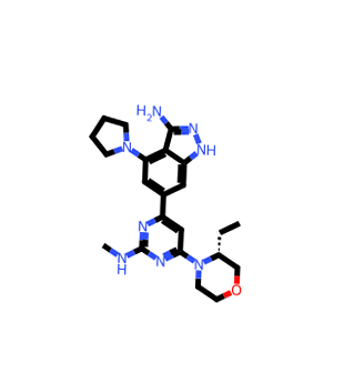 CC[C@@H]1COCCN1c1cc(-c2cc(N3CCCC3)c3c(N)n[nH]c3c2)nc(NC)n1